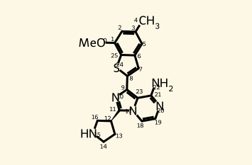 COc1cc(C)cc2cc(-c3nc([C@H]4CCNC4)n4ccnc(N)c34)sc12